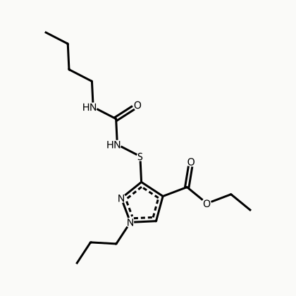 CCCCNC(=O)NSc1nn(CCC)cc1C(=O)OCC